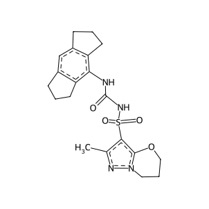 Cc1nn2c(c1S(=O)(=O)NC(=O)Nc1c3c(cc4c1CCC4)CCC3)OCCC2